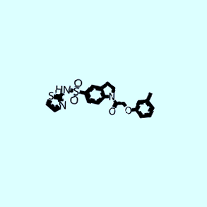 Cc1cccc(OCC(=O)N2CCc3cc(S(=O)(=O)Nc4nccs4)ccc32)c1